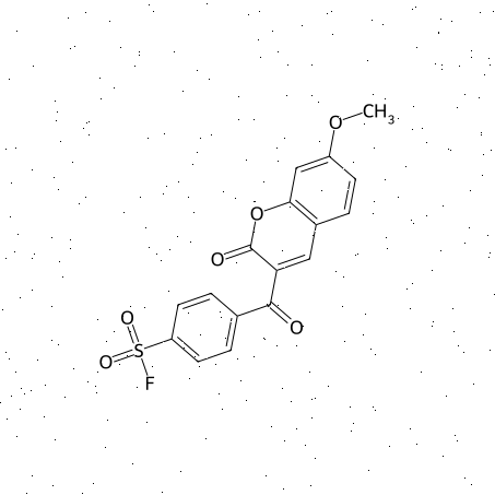 COc1ccc2cc(C(=O)c3ccc(S(=O)(=O)F)cc3)c(=O)oc2c1